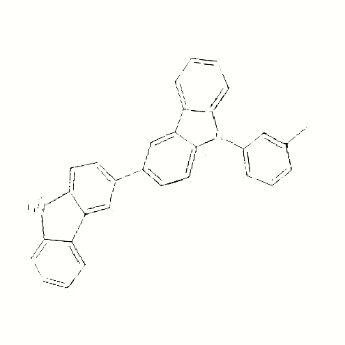 Fc1cccc(-n2c3ccccc3c3cc(-c4ccc5[nH]c6ccccc6c5c4)ccc32)c1